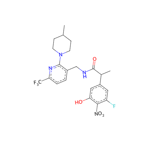 CC1CCN(c2nc(C(F)(F)F)ccc2CNC(=O)C(C)c2cc(O)c([N+](=O)[O-])c(F)c2)CC1